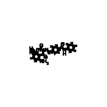 CC(=O)C(/N=N/c1ccc(C(=O)Nc2ccccc2)cc1)C(=O)c1cc(N)ccc1N